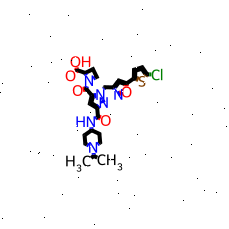 CC(C)N1CCC(NC(=O)c2cc(C(=O)N3CCC3C(=O)O)n(Cc3cc(-c4ccc(Cl)s4)on3)n2)CC1